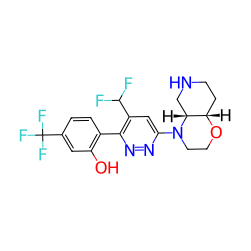 Oc1cc(C(F)(F)F)ccc1-c1nnc(N2CCO[C@H]3CCNC[C@H]32)cc1C(F)F